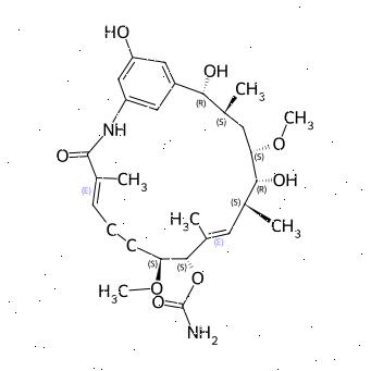 CO[C@H]1C[C@H](C)[C@@H](O)c2cc(O)cc(c2)NC(=O)/C(C)=C/CC[C@H](OC)[C@@H](OC(N)=O)/C(C)=C/[C@H](C)[C@H]1O